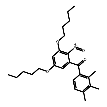 CCCCCOc1cc(OCCCCC)c([PH2]=O)c(C(=O)c2ccc(C)c(C)c2C)c1